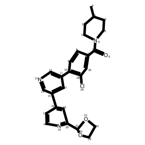 CC1CCN(C(=O)c2ccc(-c3cncc(-c4ccnc(C5OCCO5)c4)c3)c(Cl)c2)CC1